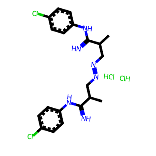 CC(CN=NCC(C)C(=N)Nc1ccc(Cl)cc1)C(=N)Nc1ccc(Cl)cc1.Cl.Cl